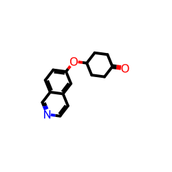 O=C1CCC(Oc2ccc3cnccc3c2)CC1